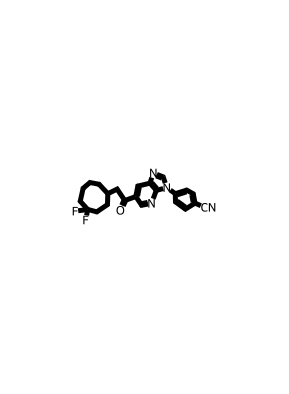 N#Cc1ccc(-n2cnc3cc(C(=O)CC4CCCCC(F)(F)CC4)cnc32)cc1